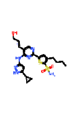 CCCCc1cc(-c2ncc(/C=C/CO)c(Nc3cc(C4CC4)[nH]n3)n2)sc1S(N)(=O)=O